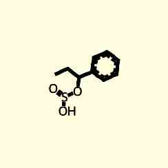 CCC(OS(=O)O)c1ccccc1